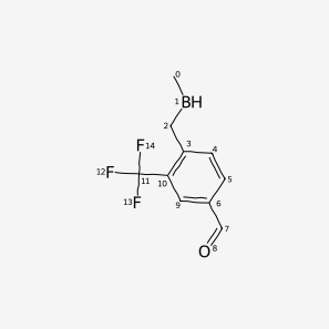 CBCc1ccc(C=O)cc1C(F)(F)F